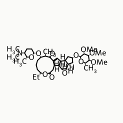 CC[C@H]1CCC[C@H](O[C@H]2CC[C@H](N(C)C)[C@@H](C)O2)[C@@H](C)C(=O)C2=C[C@H]3[C@@H]4C[C@H](O[C@@H]5O[C@@H](C)[C@H](OC)[C@@H](OC)[C@H]5OC)C[C@H]4[C@H]4O[C@H]4[C@H]3[C@@H]2CC(=O)O1